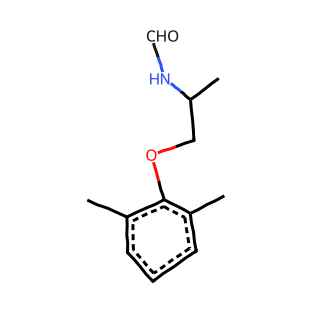 Cc1cccc(C)c1OCC(C)NC=O